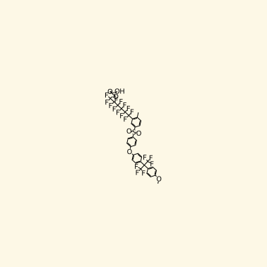 COc1ccc(C(c2ccc(Oc3ccc(S(=O)(=O)c4ccc(C)c(C(F)(F)C(F)(F)C(F)(F)C(F)(F)C(F)(F)C(F)(F)S(=O)(=O)O)c4)cc3)cc2)(C(F)(F)F)C(F)(F)F)cc1